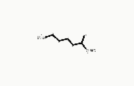 CCCCCC(C)CCCCNC